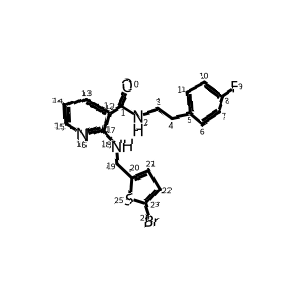 O=C(NCCc1ccc(F)cc1)c1cccnc1NCc1ccc(Br)s1